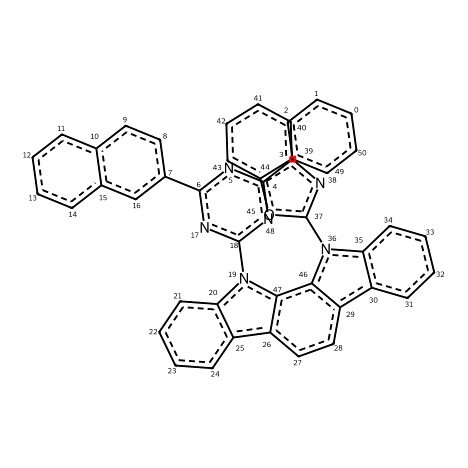 c1ccc(-c2nc(-c3ccc4ccccc4c3)nc(-n3c4ccccc4c4ccc5c6ccccc6n(-c6nc7ccccc7o6)c5c43)n2)cc1